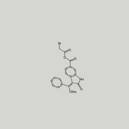 COC(=C1C(=O)Nc2cc(C(=O)OC(=O)CBr)ccc21)c1ccccc1